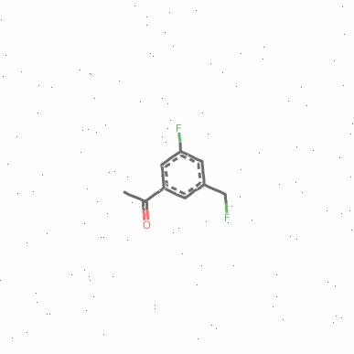 CC(=O)c1cc(F)cc(CF)c1